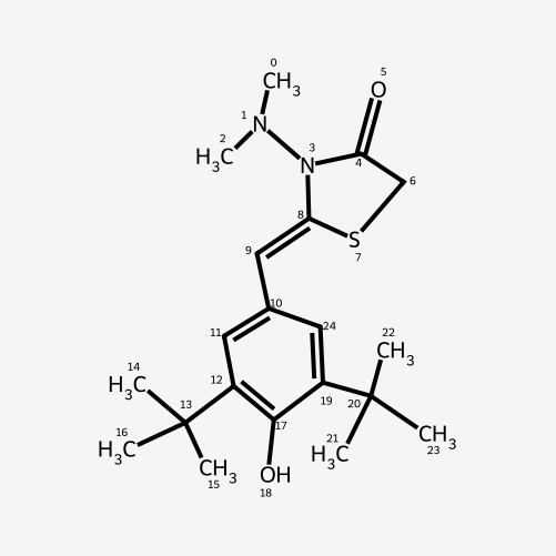 CN(C)N1C(=O)CSC1=Cc1cc(C(C)(C)C)c(O)c(C(C)(C)C)c1